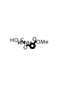 COC(=O)c1cccc(C(=O)NNC(=O)O)c1